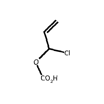 C=CC(Cl)OC(=O)O